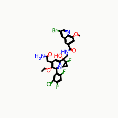 CCOc1c(CC(N)=O)cc([C@@](O)(CNC(=O)c2cc(OC)c3ncc(Br)cc3c2)C2(F)CC2)nc1-c1cc(Cl)c(F)cc1F